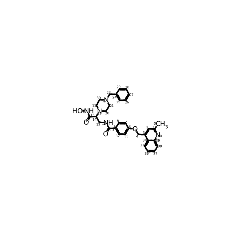 Cc1cc(COc2ccc(C(=O)NCC(C(=O)NO)N3CCN(Cc4ccccc4)CC3)cc2)c2ccccc2n1